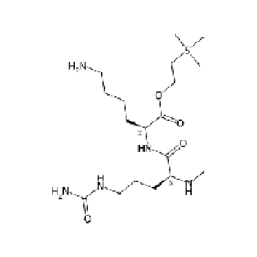 CN[C@@H](CCCNC(N)=O)C(=O)N[C@@H](CCCCN)C(=O)OCCS(C)(C)C